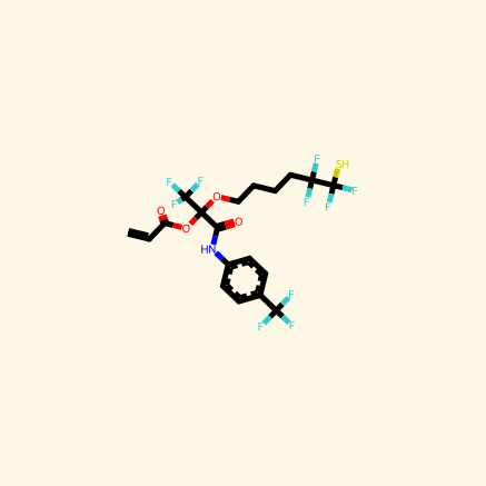 C=CC(=O)OC(OCCCCC(F)(F)C(F)(F)S)(C(=O)Nc1ccc(C(F)(F)F)cc1)C(F)(F)F